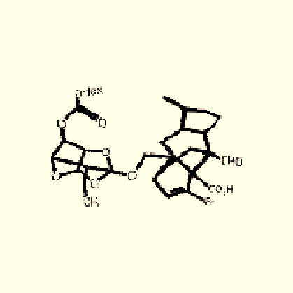 CCCCCCC(=O)OC1C2OC3(OCC45CC6C(C)CCC6C6(C=O)CC4C=C(C(C)C)C65C(=O)O)OC2OC1C3O